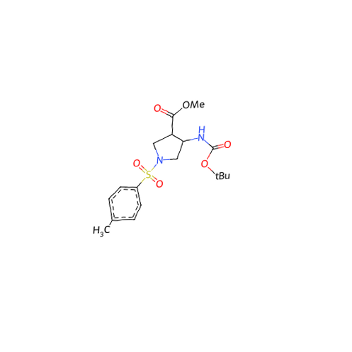 COC(=O)C1CN(S(=O)(=O)c2ccc(C)cc2)CC1NC(=O)OC(C)(C)C